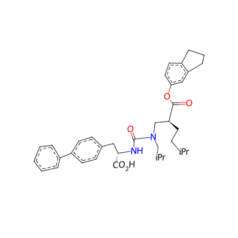 CC(C)CC[C@@H](CN(CC(C)C)C(=O)N[C@@H](Cc1ccc(-c2ccccc2)cc1)C(=O)O)C(=O)Oc1ccc2c(c1)CCC2